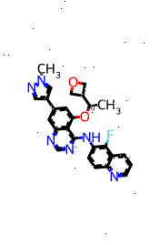 C[C@@H](Oc1cc(-c2cnn(C)c2)cc2ncnc(Nc3ccc4ncccc4c3F)c12)C1COC1